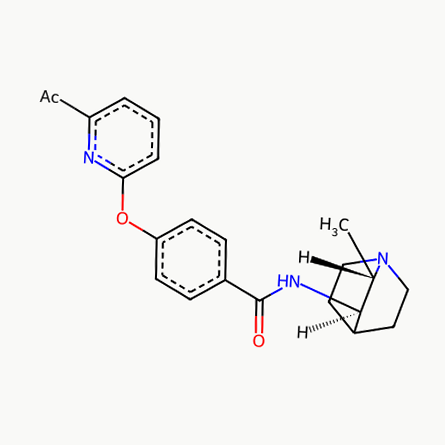 CC(=O)c1cccc(Oc2ccc(C(=O)N[C@@H]3C4CCN(CC4)[C@H]3C)cc2)n1